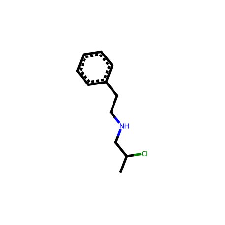 CC(Cl)CNCCc1ccccc1